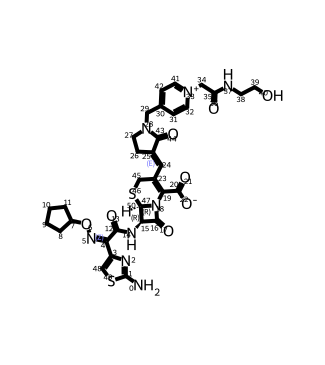 Nc1nc(/C(=N/OC2CCCC2)C(=O)N[C@@H]2C(=O)N3C(C(=O)[O-])=C(/C=C4\CCN(Cc5cc[n+](CC(=O)NCCO)cc5)C4=O)CS[C@H]23)cs1